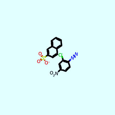 N#[N+]c1ccc([N+](=O)[O-])cc1Cl.O=S(=O)([O-])c1ccc2ccccc2c1